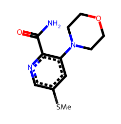 CSc1cnc(C(N)=O)c(N2CCOCC2)c1